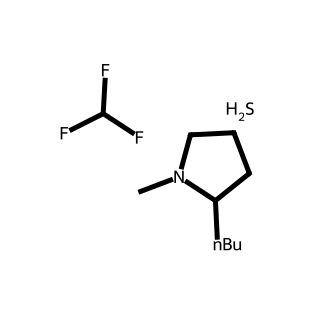 CCCCC1CCCN1C.FC(F)F.S